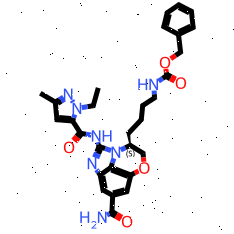 CCn1nc(C)cc1C(=O)Nc1nc2cc(C(N)=O)cc3c2n1[C@@H](CCCCNC(=O)OCc1ccccc1)CO3